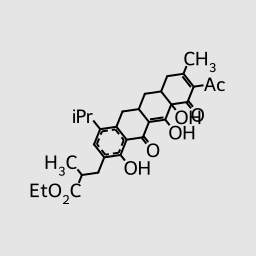 CCOC(=O)C(C)Cc1cc(C(C)C)c2c(c1O)C(=O)C1=C(O)C3(O)C(=O)C(C(C)=O)=C(C)CC3CC1C2